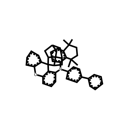 CC1(C)CCC(C)(C)c2c(N(c3ccc(-c4ccccc4)cc3)c3cccc4c3C3(c5ccccc5O4)C4CC5CC6CC3C64C5)cccc21